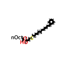 CCCCCCCCC(C)O[C@@H](O)CCSCCCCCCCCCCCCc1ccccc1